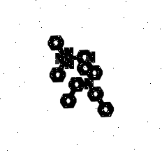 c1ccc(-c2ccc(N(c3cccc(-c4ccccc4)c3)c3cccc4c3ccc3c(-c5nc(-c6ccccc6)nc(-c6ccccc6)n5)ccnc34)cc2)cc1